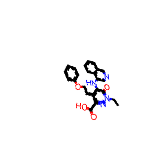 CCn1nc(C(=O)O)c(CCOc2ccccc2)c(Nc2cncc3ccccc23)c1=O